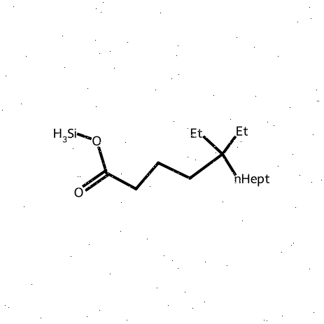 CCCCCCCC(CC)(CC)CCCC(=O)O[SiH3]